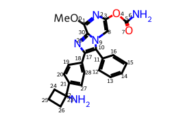 COc1nc(OC(N)=O)cn2c(-c3ccccc3)c(-c3ccc(C4(N)CCC4)cc3)nc12